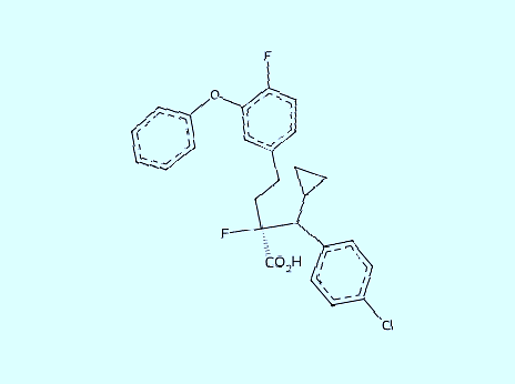 O=C(O)[C@](F)(CCc1ccc(F)c(Oc2ccccc2)c1)C(c1ccc(Cl)cc1)C1CC1